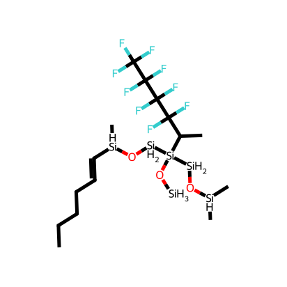 CCCCC=C[SiH](C)O[SiH2][Si](O[SiH3])([SiH2]O[SiH](C)C)C(C)C(F)(F)C(F)(F)C(F)(F)C(F)(F)F